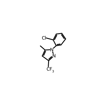 Cc1cc(C(F)(F)F)nn1-c1ccccc1Cl